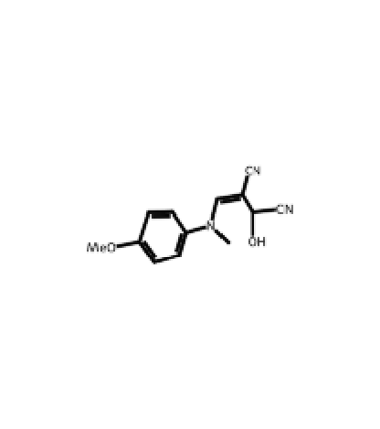 COc1ccc(N(C)C=C(C#N)C(O)C#N)cc1